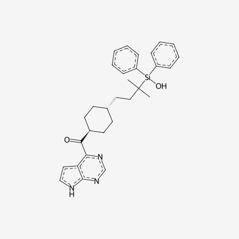 CC(C)(CC[C@H]1CC[C@H](C(=O)c2ncnc3[nH]ccc23)CC1)[Si](O)(c1ccccc1)c1ccccc1